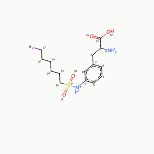 NC(Cc1cccc(NS(=O)(=O)CCCCCCI)c1)C(=O)O